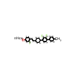 CCCCCCOc1ccc(/C=C/C2CCC(c3ccc(-c4ccc(C)cc4)c(F)c3F)CC2)c(F)c1